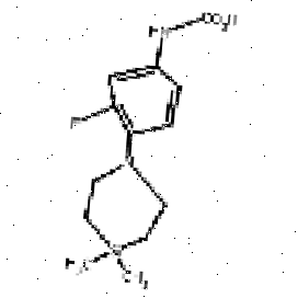 C[Si]1(C)CCN(c2ccc(NC(=O)O)cc2F)CC1